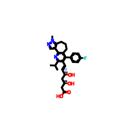 CC(C)c1nc2c(c(-c3ccc(F)cc3)c1/C=C/[C@@H](O)C[C@@H](O)CC(=O)O)CCCc1c-2cnn1C